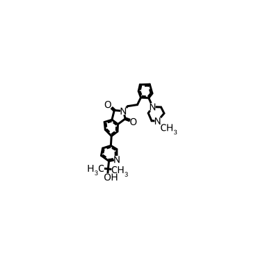 CN1CCN(c2ccccc2CCN2C(=O)c3ccc(-c4ccc(C(C)(C)O)nc4)cc3C2=O)CC1